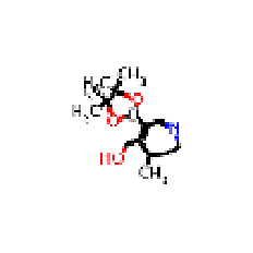 CC1CCN=CC(B2OC(C)(C)C(C)(C)O2)=C1CO